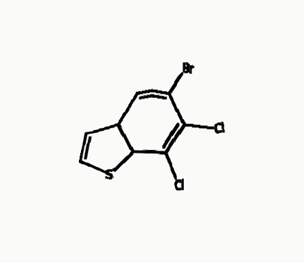 ClC1=C(Cl)C2SC=CC2C=C1Br